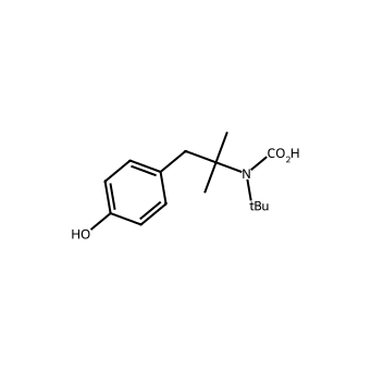 CC(C)(C)N(C(=O)O)C(C)(C)Cc1ccc(O)cc1